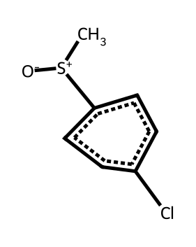 C[S+]([O-])c1ccc(Cl)cc1